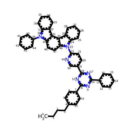 CCCCc1ccc(-c2nc(-c3ccccc3)nc(-c3ccc(-n4c5ccccc5c5c6c7ccccc7n(-c7ccccc7)c6ccc54)nc3)n2)cc1